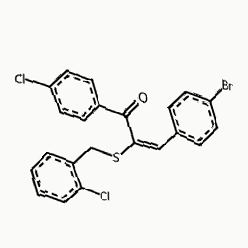 O=C(/C(=C\c1ccc(Br)cc1)SCc1ccccc1Cl)c1ccc(Cl)cc1